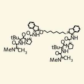 CN[C@@H](C)C(=O)N[C@H](C(=O)N1CCC[C@H]1C(=O)N[C@H]1c2ccccc2C[C@H]1CCCCCCCCO[C@@H]1Cc2ccccc2[C@@H]1NC(=O)[C@@H]1CCCN1C(=O)[C@@H](NC(=O)[C@H](C)NC)C(C)(C)C)C(C)(C)C